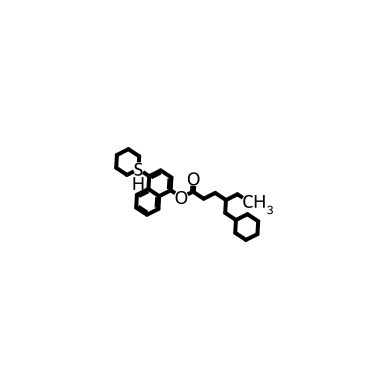 CCC(CCC(=O)Oc1ccc([SH]2CCCCC2)c2ccccc12)CC1CCCCC1